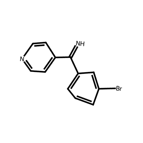 N=C(c1ccncc1)c1cccc(Br)c1